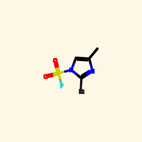 CCc1nc(C)cn1S(=O)(=O)F